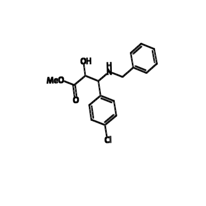 COC(=O)C(O)C(NCc1ccccc1)c1ccc(Cl)cc1